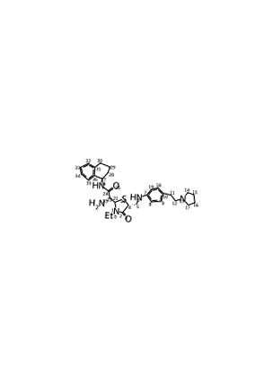 CCN1C(=O)[C@@H](CNc2ccc(CCN3CCCC3)cc2)SC1[C@H](N)C(=O)NC1CCCc2ccccc21